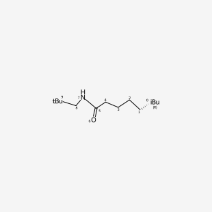 CC[C@@H](C)CCCCC(=O)NCC(C)(C)C